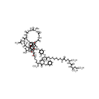 CC[C@H](C)[C@@H]1NC(=O)CNC(=O)C2Cc3c([nH]c4cc(OCCCSSCC(NC(=O)[C@H](Cc5ccccc5)NC(=O)[C@H](Cc5ccccc5)NC(=O)CCCCCCCNC(=O)CCC(NC(=O)NC(CCC(=O)O)C(=O)O)C(=O)O)C(=O)O)ccc34)[S+]([O-])CC(NC(=O)CNC1=O)C(=O)N[C@@H](CC(N)=O)C(=O)N1C[C@H](O)C[C@]1(C=O)N[C@@H]([C@@H](C)[C@@H](O)CO)C(=O)N2